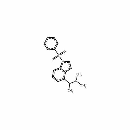 CC(c1cccc2c1ccn2S(=O)(=O)c1ccccc1)N(C)C